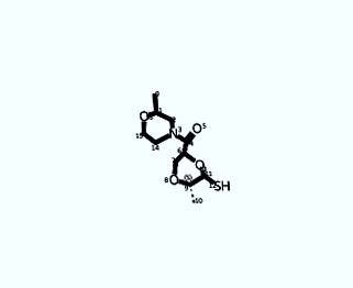 CC1CN(C(=O)C2CO[C@@H](C)C(S)O2)CCO1